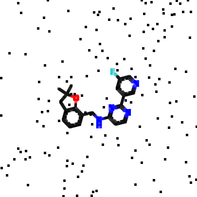 CC1(C)Cc2cccc(CNc3ccnc(-c4cncc(F)c4)n3)c2O1